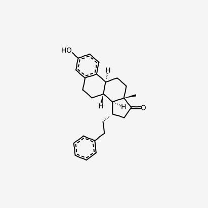 C[C@]12CC[C@@H]3c4ccc(O)cc4CC[C@H]3[C@@H]1[C@@H](CCc1ccccc1)CC2=O